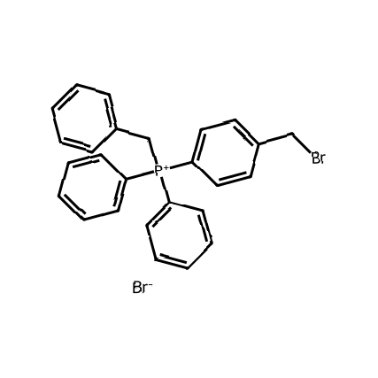 BrCc1ccc([P+](Cc2ccccc2)(c2ccccc2)c2ccccc2)cc1.[Br-]